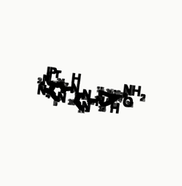 CC(C)n1cnc2cnc(Nc3ccnc(N4CC5[C@H](C4)[C@H]5C(N)=O)n3)cc21